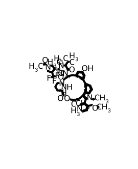 CCn1c(-c2cnccc2COC)c2c3cc(ccc31)-c1cc(O)cc(c1)C[C@H](NC(=O)C(C(C)C)N(C)C(=O)[C@@H]1CN(C(C)=O)CC1C(F)(F)F)C(=O)N1CCC[C@H](N1)C(=O)OCC(C)(C)C2